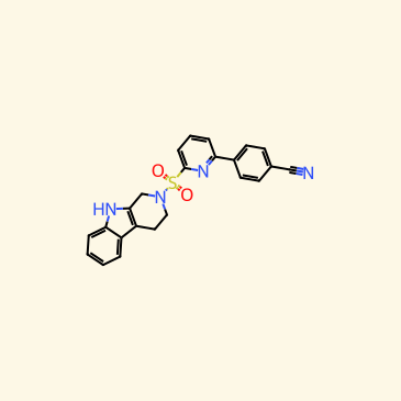 N#Cc1ccc(-c2cccc(S(=O)(=O)N3CCc4c([nH]c5ccccc45)C3)n2)cc1